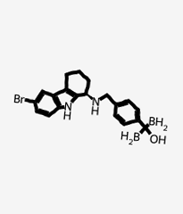 BC(B)(O)c1ccc(CN[C@@H]2CCCc3c2[nH]c2ccc(Br)cc32)cc1